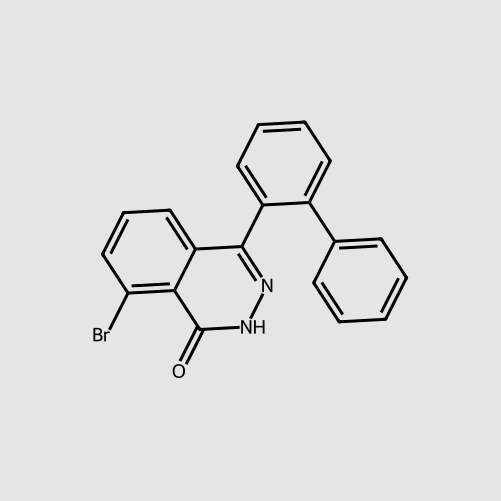 O=c1[nH]nc(-c2ccccc2-c2ccccc2)c2cccc(Br)c12